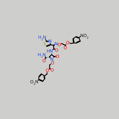 NC(=O)[C@@H]1[C@H](NC(=O)/C(=N\OCC(=O)OCc2ccc([N+](=O)[O-])cc2)c2csc(N)n2)C(=O)N1OCC(=O)OCc1ccc([N+](=O)[O-])cc1